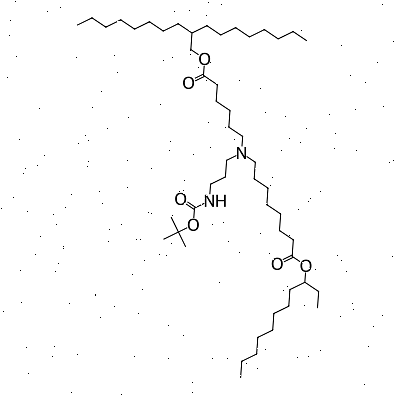 CCCCCCCCC(CCCCCCCC)COC(=O)CCCCCN(CCCCCCCC(=O)OC(CC)CCCCCCCC)CCCNC(=O)OC(C)(C)C